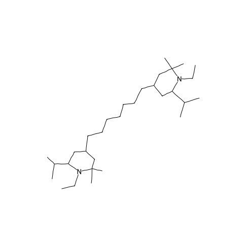 CCN1C(C(C)C)CC(CCCCCCCC2CC(C(C)C)N(CC)C(C)(C)C2)CC1(C)C